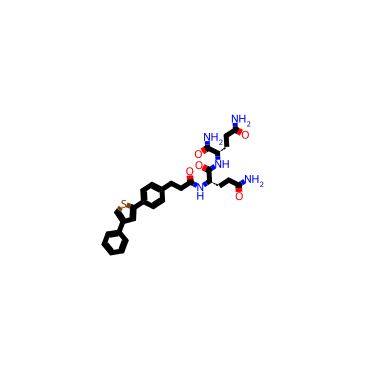 NC(=O)CC[C@H](NC(=O)[C@H](CCC(N)=O)NC(=O)CCc1ccc(-c2cc(-c3ccccc3)cs2)cc1)C(N)=O